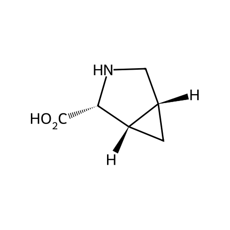 O=C(O)[C@@H]1NC[C@@H]2C[C@@H]21